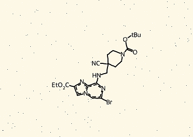 CCOC(=O)c1cn2cc(Br)nc(NCC3(C#N)CCN(C(=O)OC(C)(C)C)CC3)c2n1